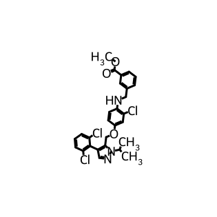 COC(=O)c1cccc(CNc2ccc(OCc3c(-c4c(Cl)cccc4Cl)cnn3C(C)C)cc2Cl)c1